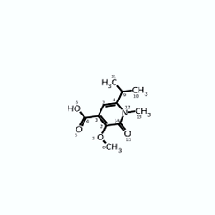 COc1c(C(=O)O)cc(C(C)C)n(C)c1=O